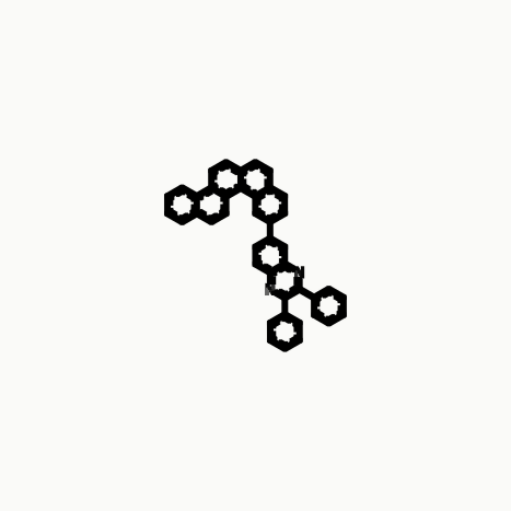 c1ccc(-c2nc3ccc(-c4ccc5ccc6ccc7c8ccccc8ccc7c6c5c4)cc3nc2-c2ccccc2)cc1